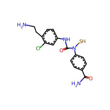 NCCc1ccc(NC(=O)N(S)c2ccc(C(N)=O)cc2)cc1Cl